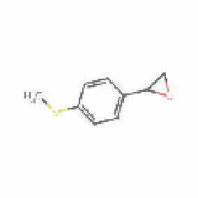 CSc1ccc(C2CO2)cc1